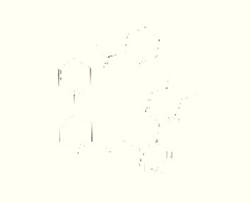 Cc1nc(-c2nnn(C)c2CNc2cc(-c3ccccc3)ccn2)ccc1O[C@H]1CCC[C@H](C(=O)O)C1